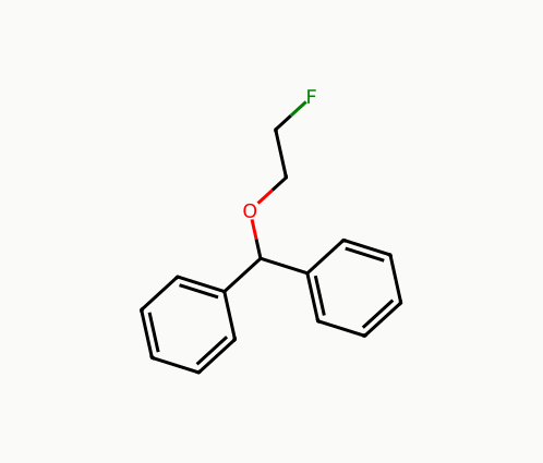 FCCOC(c1ccccc1)c1ccccc1